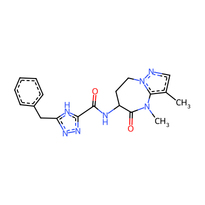 Cc1cnn2c1N(C)C(=O)C(NC(=O)c1nnc(Cc3ccccc3)[nH]1)CC2